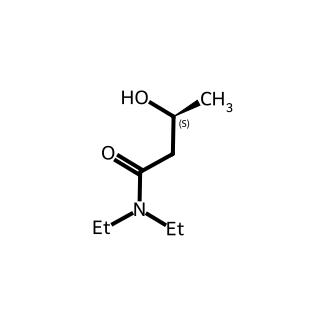 CCN(CC)C(=O)C[C@H](C)O